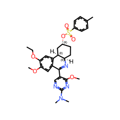 CCOc1cc2c(cc1OC)C(c1cnc(N(C)C)nc1OC)=N[C@@H]1CC[C@@H](OS(=O)(=O)c3ccc(C)cc3)C[C@H]21